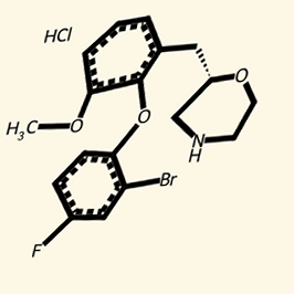 COc1cccc(C[C@H]2CNCCO2)c1Oc1ccc(F)cc1Br.Cl